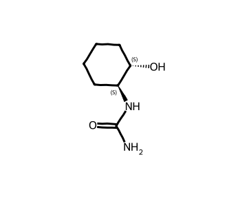 NC(=O)N[C@H]1CCCC[C@@H]1O